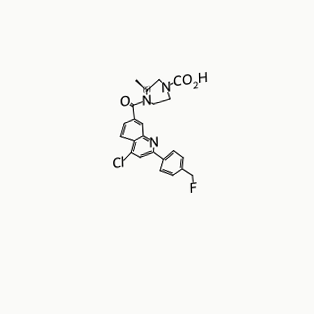 C[C@H]1CN(C(=O)O)CCN1C(=O)c1ccc2c(Cl)cc(-c3ccc(CF)cc3)nc2c1